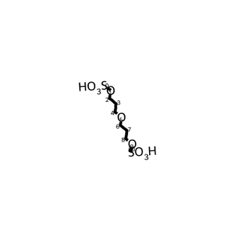 O=S(=O)(O)OCCCOCCCOS(=O)(=O)O